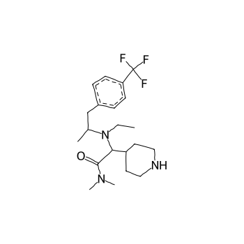 CCN(C(C)Cc1ccc(C(F)(F)F)cc1)C(C(=O)N(C)C)C1CCNCC1